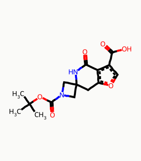 CC(C)(C)OC(=O)N1CC2(Cc3occ(C(=O)O)c3C(=O)N2)C1